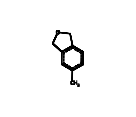 Cc1ccc2c(c1)COC2